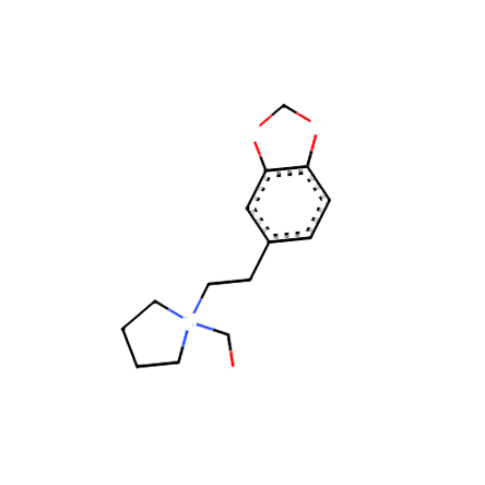 OC[N+]1(CCc2ccc3c(c2)OCO3)CCCC1